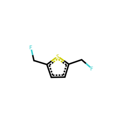 FCc1ccc(CF)s1